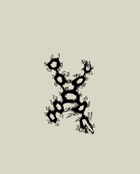 c1ccc(-c2ccc(-c3cc(-c4ccc(-c5ccccc5)cc4)c(-c4ccc(-c5ccncc5)cc4)cc3-c3ccc(-c4ccncc4)cc3)cc2)cc1